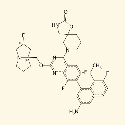 CCc1c(F)ccc2cc(N)cc(-c3c(F)cc4c(N5CCCC6(CNC(=O)O6)C5)nc(OC[C@@]56CCCN5C[C@H](F)C6)nc4c3F)c12